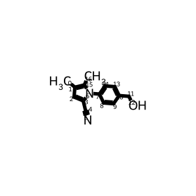 Cc1cc(C#N)n(-c2ccc(CO)cc2)c1C